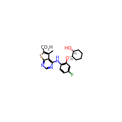 Cc1c(C(=O)O)sc2ncnc(Nc3ccc(F)cc3O[C@H]3CCCC[C@@H]3O)c12